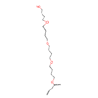 C=CCC(=C)OCCCCOCCCCOCCCCOCCCCO